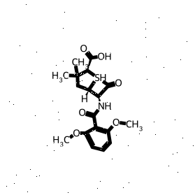 COc1cccc(OC)c1C(=O)N[C@H]1C(=O)[SH]2[C@@H]1CC(C)(C)[C@H]2C(=O)O